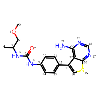 COCC(C)NC(=O)Nc1ccc(-c2csc3ncnc(N)c23)cc1